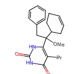 COC(Cc1ccccc1)(c1[nH]c(=O)[nH]c(=O)c1C(C)C)C1CC=CCC1